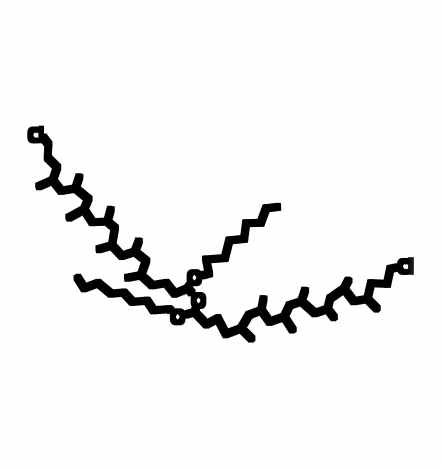 CCCCCCCCCOC(CCCC(C)CC(C)CC(C)CC(C)CC(C)CC(C)CC(C)CCCCl)OC(CCCC(C)CC(C)CC(C)CC(C)CC(C)CC(C)CC(C)CCCCl)OCCCCCCCCC